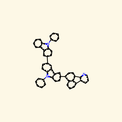 c1ccc(-n2c3ccccc3c3cc(-c4ccc5c(c4)c4cc(-c6ccc7c8c(cccc68)-c6cccnc6-7)ccc4n5-c4ccccc4)ccc32)cc1